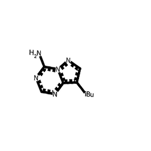 CCC(C)c1cnn2c(N)ncnc12